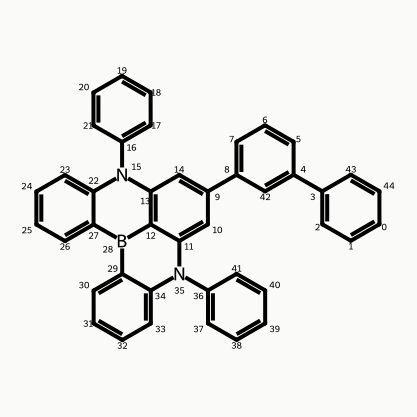 c1ccc(-c2cccc(-c3cc4c5c(c3)N(c3ccccc3)c3ccccc3B5c3ccccc3N4c3ccccc3)c2)cc1